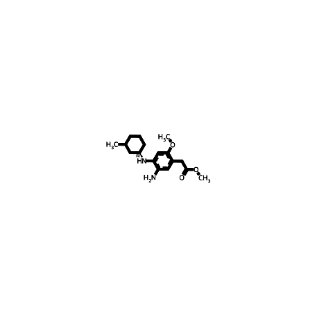 COC(=O)Cc1cc(N)c(N[C@H]2CCCC(C)C2)cc1OC